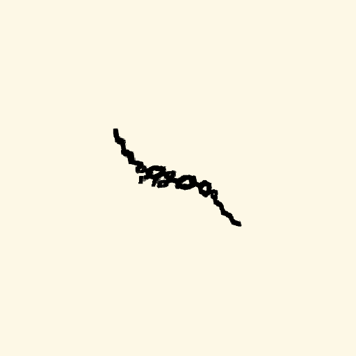 CCCCCCCOc1ccc(OC(=O)c2ccc(-c3ccc(OCCCCCC)cc3)cc2)c(F)c1F